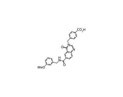 COc1cccc(CNC(=O)c2ccc3ncn(Cc4ccc(C(=O)O)cc4)c(=O)c3c2)c1